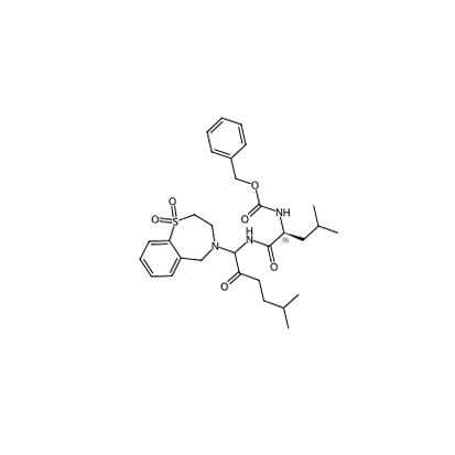 CC(C)CCC(=O)C(NC(=O)[C@H](CC(C)C)NC(=O)OCc1ccccc1)N1CCS(=O)(=O)c2ccccc2C1